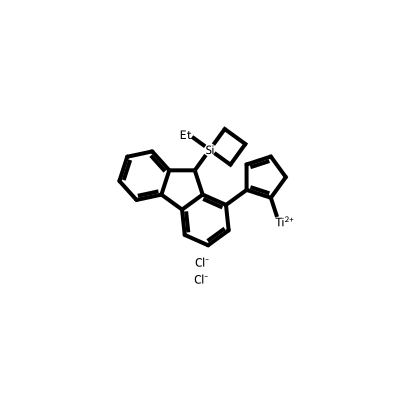 CC[Si]1(C2c3ccccc3-c3cccc(C4=[C]([Ti+2])CC=C4)c32)CCC1.[Cl-].[Cl-]